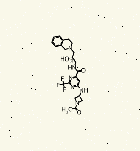 CC(=O)N1CC(Nc2cc(C(=O)NC[C@H](O)CN3CCc4ccccc4C3)nc(C(F)(F)F)n2)C1